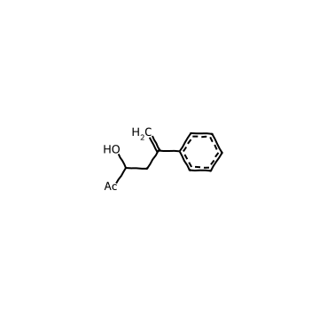 C=C(CC(O)C(C)=O)c1ccccc1